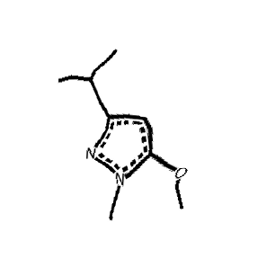 COc1cc(C(C)C)nn1C